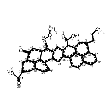 CCCc1cc2c(C(=O)O)c3cc4c(=NOC)c5cc(=O)c6cc(C(=O)O)cc7ccc(c-5c76)c4cc3c3ccc4cccc1c4c23